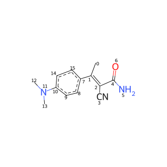 C/C(=C(/C#N)C(N)=O)c1ccc(N(C)C)cc1